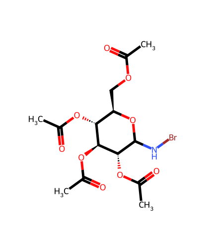 CC(=O)OC[C@H]1OC(NBr)[C@H](OC(C)=O)[C@@H](OC(C)=O)[C@@H]1OC(C)=O